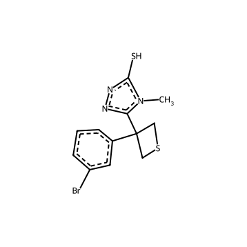 Cn1c(S)nnc1C1(c2cccc(Br)c2)CSC1